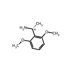 COc1cccc(OC)c1[C@@H](C)N